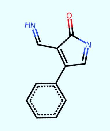 N=CC1=C(c2ccccc2)C=NC1=O